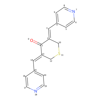 O=C1/C(=C/c2ccncc2)CSC/C1=C\c1ccncc1